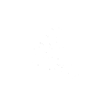 CNc1cc(C)nc(Nc2cc3c(c(C4=CCN(C(=O)OC(C)(C)C)CCC4)c2F)OCC3)n1